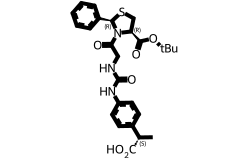 C[C@H](C(=O)O)c1ccc(NC(=O)NCC(=O)N2[C@@H](c3ccccc3)SC[C@H]2C(=O)OC(C)(C)C)cc1